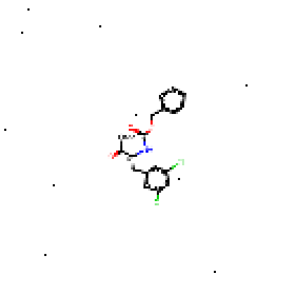 COC(=O)[C@H](Cc1cc(Cl)cc(Cl)c1)NC(=O)OCc1ccccc1